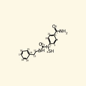 NC(=O)c1ccc(N(S)C(=O)NCCc2ccccc2)cc1